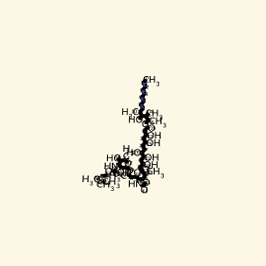 C/C=C/C=C/C=C/C=C/C(C)C(O)C(C)C(C)OC(=O)CC(O)CC(O)CCC(O)C(O)CC(O)CC1(OC)CC2OC(=O)NC2C(CC(C)OC2OC(C)C(O)C(NC(=O)OCC[Si](C)(C)C)C2O)O1